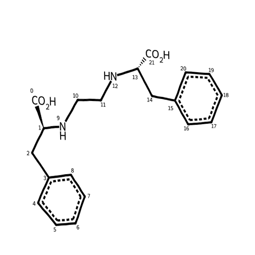 O=C(O)[C@H](Cc1ccccc1)NCCN[C@@H](Cc1ccccc1)C(=O)O